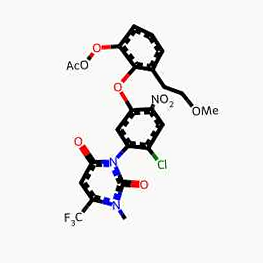 COCCc1cccc(OOC(C)=O)c1Oc1cc(-n2c(=O)cc(C(F)(F)F)n(C)c2=O)c(Cl)cc1[N+](=O)[O-]